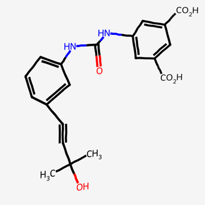 CC(C)(O)C#Cc1cccc(NC(=O)Nc2cc(C(=O)O)cc(C(=O)O)c2)c1